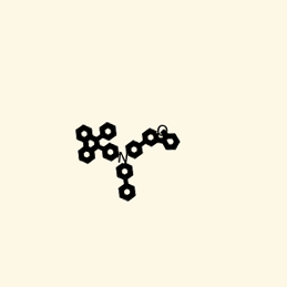 c1ccc(-c2ccc(N(c3ccc(-c4ccc5oc6ccccc6c5c4)cc3)c3ccc(-c4c(-c5ccccc5)c5ccccc5c5ccccc45)cc3)cc2)cc1